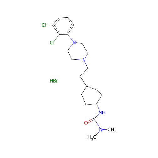 Br.CN(C)C(=O)NC1CCC(CCN2CCN(c3cccc(Cl)c3Cl)CC2)CC1